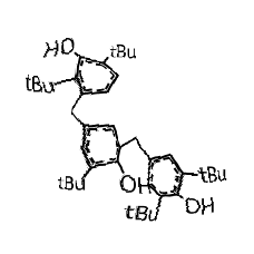 CC(C)(C)c1cc(Cc2ccc(C(C)(C)C)c(O)c2C(C)(C)C)cc(Cc2cc(C(C)(C)C)c(O)c(C(C)(C)C)c2)c1O